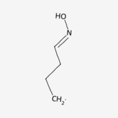 [CH2]CCC=NO